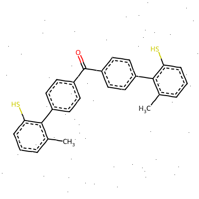 Cc1cccc(S)c1-c1ccc(C(=O)c2ccc(-c3c(C)cccc3S)cc2)cc1